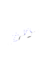 Cn1cc(-c2ccc(C(F)(F)F)nn2)nn1